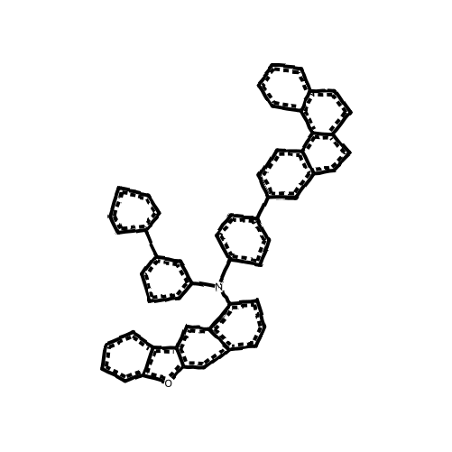 c1ccc(-c2cccc(N(c3ccc(-c4ccc5c(ccc6ccc7ccccc7c65)c4)cc3)c3cccc4cc5oc6ccccc6c5cc34)c2)cc1